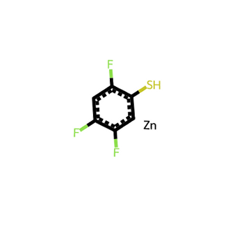 Fc1cc(F)c(S)cc1F.[Zn]